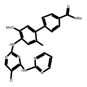 CNC(=O)c1ccc(-c2cc(OC)c(Nc3ncc(Cl)c(Nc4ncccn4)n3)cc2C)cc1